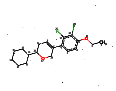 CCOc1ccc(C2=CCC(C3CCCCC3)OC2)c(F)c1F